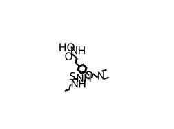 CCCNC(=S)Nc1cc(/C=C/C(=O)NO)ccc1OCCN(CC)CC